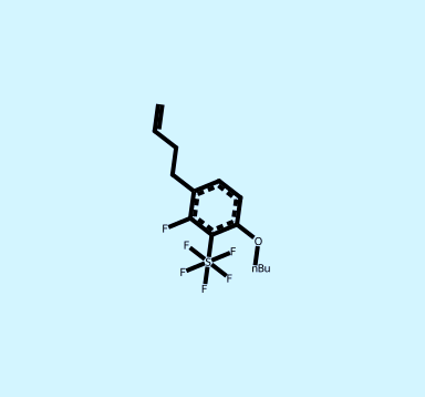 C=CCCc1ccc(OCCCC)c(S(F)(F)(F)(F)F)c1F